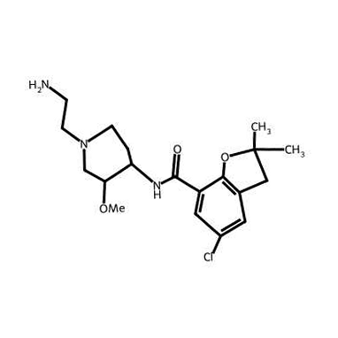 COC1CN(CCN)CCC1NC(=O)c1cc(Cl)cc2c1OC(C)(C)C2